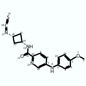 COc1ccc(Nc2ccc(C(=O)N[C@H]3C[C@@H](N=C=S)C3)nc2)cc1